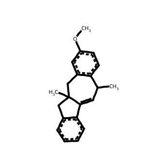 COc1ccc2c(c1)CC1(C)Cc3ccccc3C1=CC2C